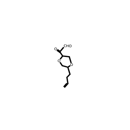 C=CCCC1COC(C(=O)C=O)CO1